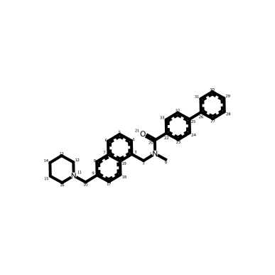 CN(Cc1cccc2cc(CN3CCCCC3)ccc12)C(=O)c1ccc(-c2ccccc2)cc1